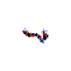 CNC(=O)COc1cc2cc(Nc3nc(N4CCC(OC5CC(N6CCC(c7c(F)cc8c(c7F)CN([C@@H]7CCC(=O)NC7=O)C8=O)CC6)C5)CC4)ncc3Cl)ccc2n(C(C)C)c1=O